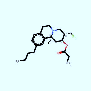 CCCCc1ccc2c(c1)[C@@H]1C[C@H](OC(=O)CC)[C@@H](C[18F])CN1CC2